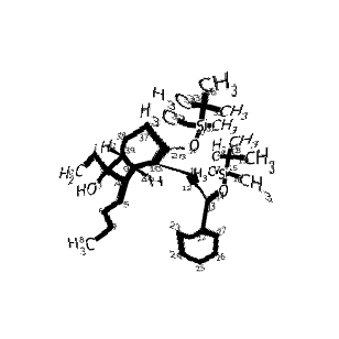 C=CC1(O)C(CCCC)[C@H]2[C@H](C#C[C@@H](O[Si](C)(C)C(C)(C)C)C3CCCCC3)[C@@H](O[Si](C)(C)C(C)(C)C)CC[C@H]21